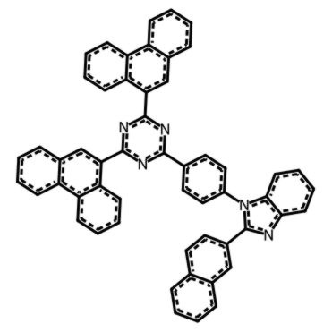 c1ccc2cc(-c3nc4ccccc4n3-c3ccc(-c4nc(-c5cc6ccccc6c6ccccc56)nc(-c5cc6ccccc6c6ccccc56)n4)cc3)ccc2c1